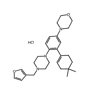 CC1(C)CC=C(c2cc(N3CCOCC3)ccc2N2CCN(Cc3ccoc3)CC2)CC1.Cl